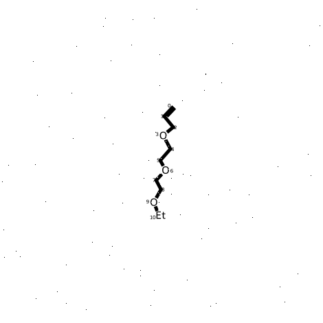 C=CCOCCOCCOCC